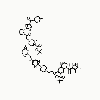 Cc1n[nH]c(Nc2ncnc3cc(OCCN4CCN(c5ncc(OC[C@H]6CN(C[C@H]7CN(C(=O)OC(C)(C)C)[C@H](C)CN7CC(=O)N7CCC[C@H]7c7nc(C(=O)c8ccc(F)cc8)cs7)CCO6)cn5)CC4)c(S(=O)(=O)C(C)(C)C)cc23)c1C